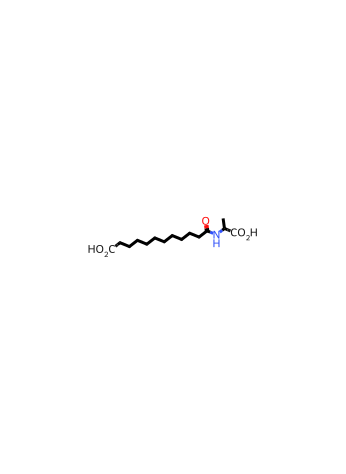 CC(NC(=O)CCCCCCCCCCC(=O)O)C(=O)O